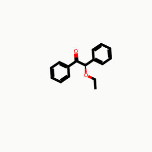 CCO[C@@H](C(=O)c1ccccc1)c1ccccc1